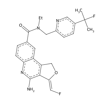 CCN(Cc1ccc(C(C)(C)F)cn1)C(=O)c1ccc2nc(N)c3c(c2c1)CO/C3=C\F